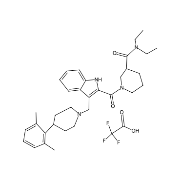 CCN(CC)C(=O)C1CCCN(C(=O)c2[nH]c3ccccc3c2CN2CCC(c3c(C)cccc3C)CC2)C1.O=C(O)C(F)(F)F